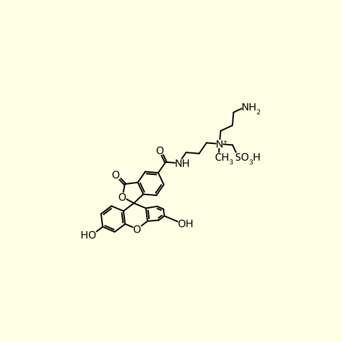 C[N+](CCCN)(CCCNC(=O)c1ccc2c(c1)C(=O)OC21c2ccc(O)cc2Oc2cc(O)ccc21)CS(=O)(=O)O